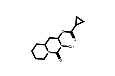 O=C(OC1CC2CCCCN2C(=O)N1O)C1CC1